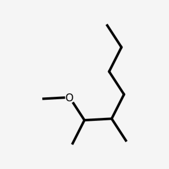 CCCCC(C)C(C)OC